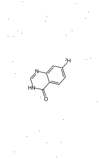 [2H]c1ccc2c(=O)[nH]cnc2c1